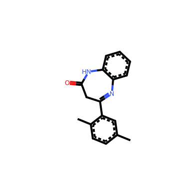 Cc1ccc(C)c(C2=Nc3ccccc3NC(=O)C2)c1